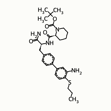 CCCSc1ccc(-c2ccc(C[C@H](NC(=O)[C@@H]3CCCCN3C(=O)OC(C)(C)C)C(N)=O)cc2)cc1N